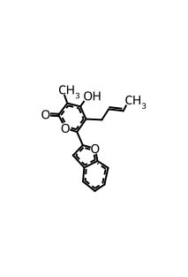 CC=CCc1c(-c2cc3ccccc3o2)oc(=O)c(C)c1O